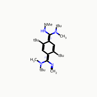 C=N/C(=c1/cc(C(C)(C)C)/c(=C(\NNC)N(C)C(C)(C)C)cc1C(C)(C)C)N(C)C(C)(C)C